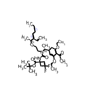 C=C/C(=C\C=C/C)[C@H](C)OCCN(C(=O)NC1(C(=O)OC(C)(C)C)CC(F)(F)C1)[C@H](C)C1C=C(OCC)C(C(C)=O)=C(OCC)C1